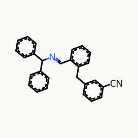 N#Cc1cccc(Cc2ccccc2C=NC(c2ccccc2)c2ccccc2)c1